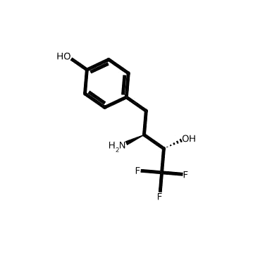 N[C@@H](Cc1ccc(O)cc1)[C@H](O)C(F)(F)F